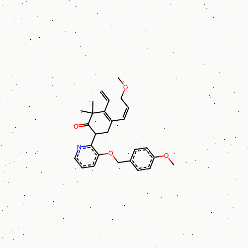 C=CC1=C(/C=C\COC)CC(c2ncccc2OCc2ccc(OC)cc2)C(=O)C1(C)C